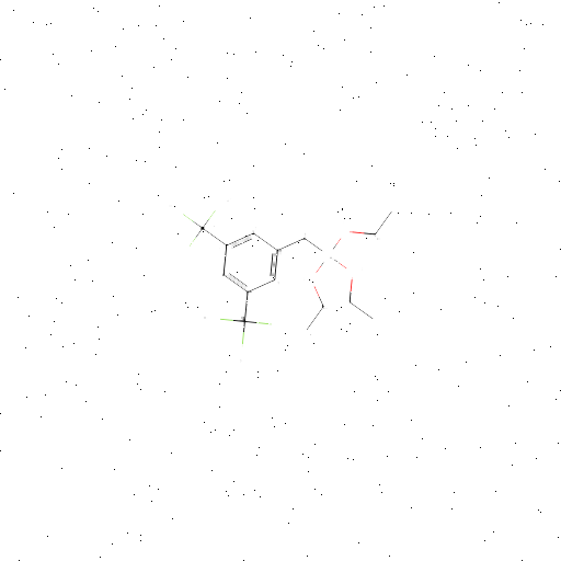 CCO[Si](Cc1cc(C(F)(F)F)cc(C(F)(F)F)c1)(OCC)OCC